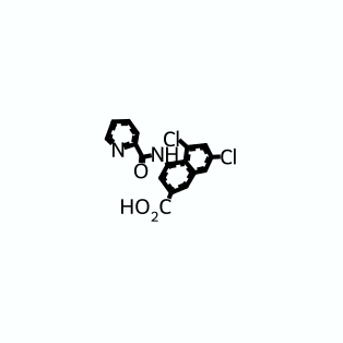 O=C(O)c1cc(NC(=O)c2ccccn2)c2c(Cl)cc(Cl)cc2c1